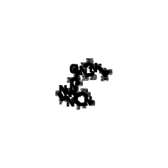 CN1CCc2nc3ccnn3c(N3CC(C(=O)N4CCN(CC5CC5)CC4)C3)c2CC1